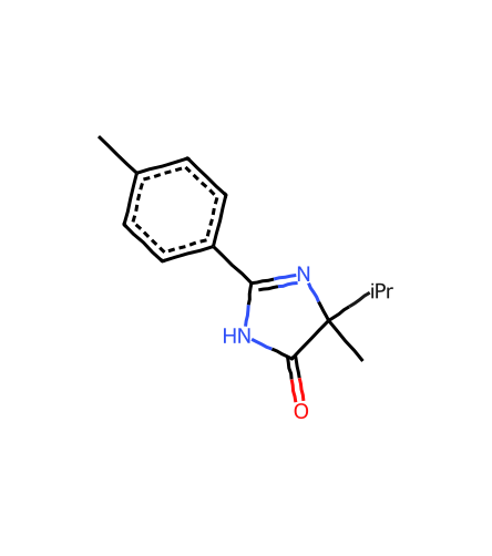 Cc1ccc(C2=NC(C)(C(C)C)C(=O)N2)cc1